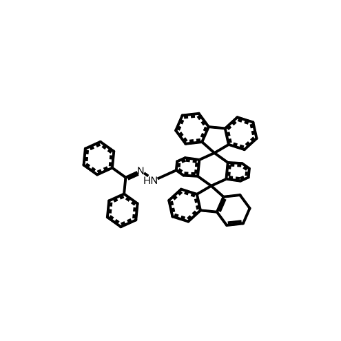 C1=CC2=C(CC1)C1(c3ccccc32)c2ccccc2C2(c3ccccc3-c3ccccc32)c2ccc(NN=C(c3ccccc3)c3ccccc3)cc21